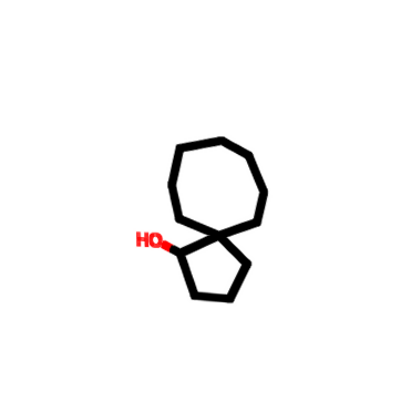 OC1CCCC12CCCCCCC2